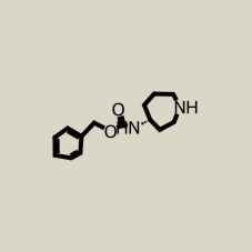 O=C(N[C@@H]1CCCNCC1)OCc1ccccc1